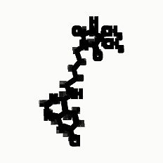 CC1(C)NC(=O)N(CCCCCNc2ncnc3cc(Cl)ccc23)C1=O